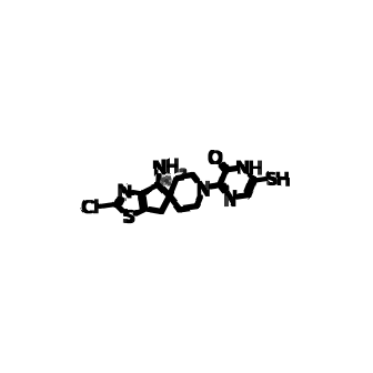 N[C@@H]1c2nc(Cl)sc2CC12CCN(c1ncc(S)[nH]c1=O)CC2